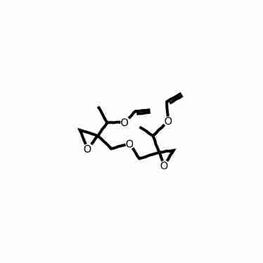 C=COC(C)C1(COCC2(C(C)OC=C)CO2)CO1